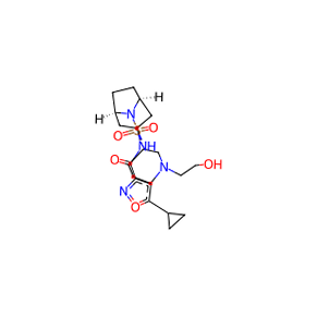 O=C(N[C@H]1C[C@H]2CC[C@@H](C1)N2S(=O)(=O)[C@H]1CCCN(CCO)C1)c1cc(C2CC2)on1